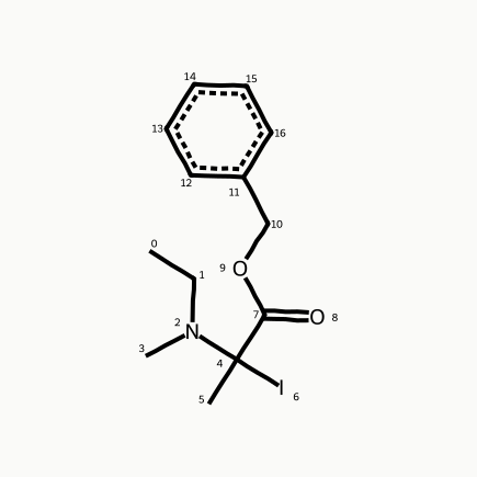 CCN(C)C(C)(I)C(=O)OCc1ccccc1